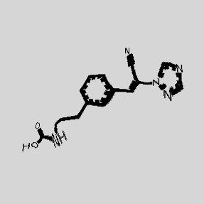 N#C/C(=C\c1cccc(CCNC(=O)O)c1)n1cncn1